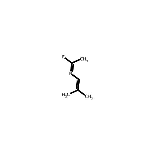 CC(C)=C/N=C(\C)F